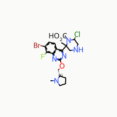 CN1CCC[C@H]1COc1nc(C2(C)CNCC(Cl)N2C(=O)O)c2ccc(Br)c(F)c2n1